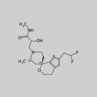 CNC(=O)C(O)CN1CC[C@]2(C[C@@H]1C)OCCc1cc(CC(F)F)sc12